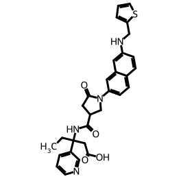 CCC(CC(=O)O)(NC(=O)C1CC(=O)N(c2ccc3ccc(NCc4cccs4)cc3c2)C1)c1cccnc1